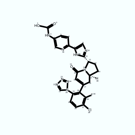 O=C(O)Nc1ccc(-c2cnc([C@@H]3CC[C@H]4CC(c5c(-n6cnnn6)ccc(Cl)c5F)=CC(=O)N43)[nH]2)nc1